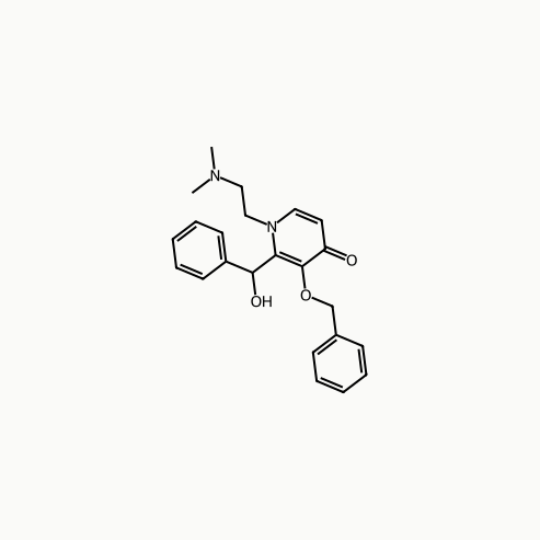 CN(C)CCn1ccc(=O)c(OCc2ccccc2)c1C(O)c1ccccc1